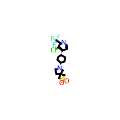 O=S1(=O)CC2(CCN([C@H]3CC[C@@H](c4ccnc(C(F)(F)F)c4Cl)CC3)C2)C1